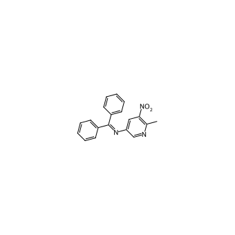 Cc1ncc(N=C(c2ccccc2)c2ccccc2)cc1[N+](=O)[O-]